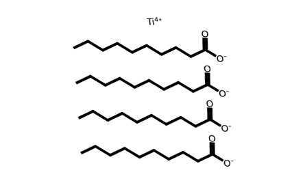 CCCCCCCCCC(=O)[O-].CCCCCCCCCC(=O)[O-].CCCCCCCCCC(=O)[O-].CCCCCCCCCC(=O)[O-].[Ti+4]